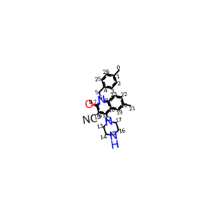 Cc1ccc(Cn2c(=O)c(C#N)c(N3CCNCC3)c3cc(C)ccc32)cc1